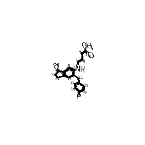 O=C(O)CCCNc1cc2c(cc1Cc1ccc(F)cc1)CCC2=O